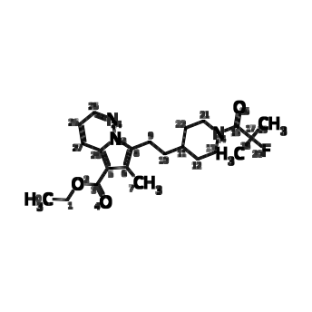 CCOC(=O)c1c(C)c(CCC2CCN(C(=O)C(C)(C)F)CC2)n2ncccc12